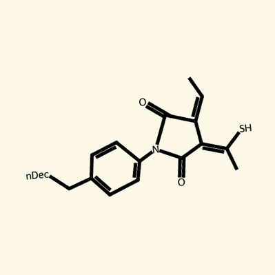 CC=C1C(=O)N(c2ccc(CCCCCCCCCCC)cc2)C(=O)/C1=C(\C)S